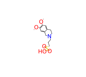 COc1cc2c(cc1OC)CN(CCCS(=O)(=O)O)CC2